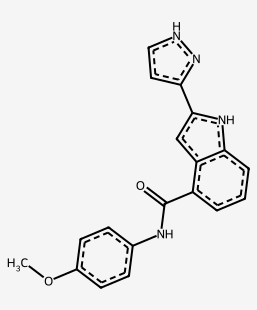 COc1ccc(NC(=O)c2cccc3[nH]c(-c4cc[nH]n4)cc23)cc1